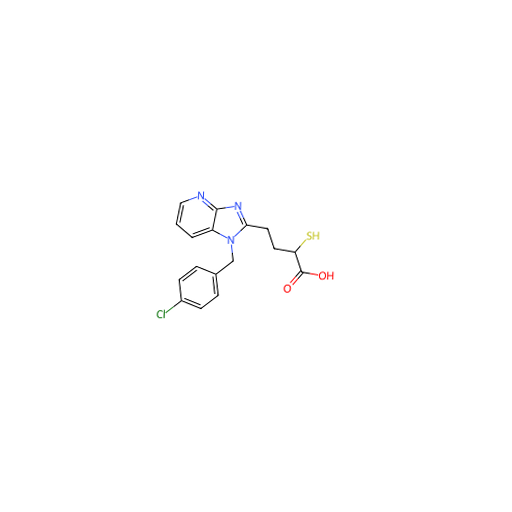 O=C(O)C(S)CCc1nc2ncccc2n1Cc1ccc(Cl)cc1